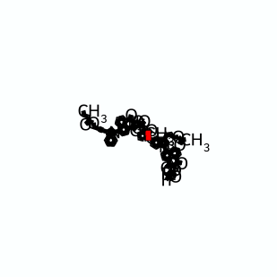 CCCC(=O)OCC#Cc1cn(-c2ccc3c4c(cccc24)C(=O)N(OS(=O)(=O)CC24CCC(C(c5ccc6c(c5)c(/C=C\COC(C)=O)cn6-c5ccc6c7c(cccc57)C(=O)N(OS(=O)(=O)C(F)(F)F)C6=O)C2=O)C4(C)C)C3=O)c2ccccc12